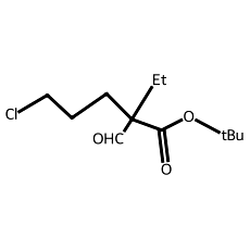 CCC(C=O)(CCCCl)C(=O)OC(C)(C)C